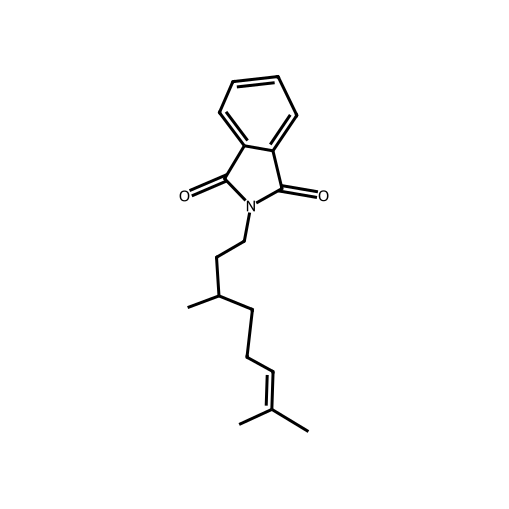 CC(C)=CCCC(C)CCN1C(=O)c2ccccc2C1=O